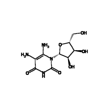 Nc1c(N)n([C@@H]2O[C@H](CO)[C@@H](O)[C@H]2O)c(=O)[nH]c1=O